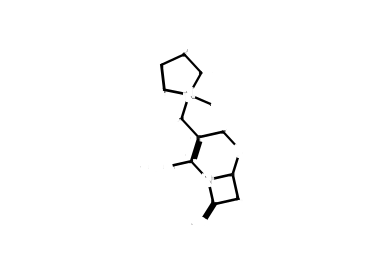 C[N+]1(CC2=C(C(=O)[O-])N3C(=O)CC3SC2)CCCC1